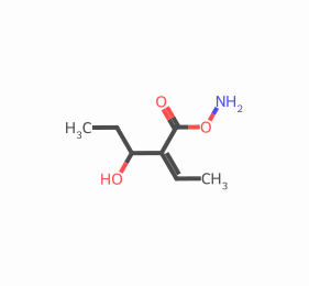 CC=C(C(=O)ON)C(O)CC